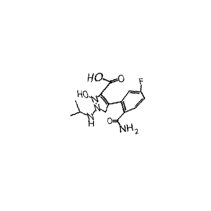 CC(C)NN1CC(c2cc(F)ccc2C(N)=O)=C(C(=O)O)N1O